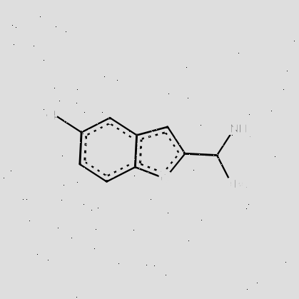 CC(C)(C)C(N)c1cc2cc(Cl)ccc2o1